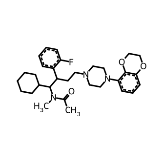 CC(=O)N(C)C(C1CCCCC1)C(CCN1CCN(c2cccc3c2OCCO3)CC1)c1ccccc1F